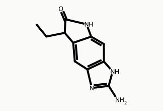 CCC1C(=O)Nc2cc3[nH]c(N)nc3cc21